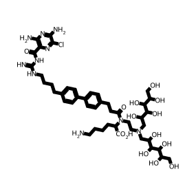 N=C(NCCCCc1ccc(-c2ccc(CCC(=O)N(CCN(CC(O)C(O)C(O)C(O)CO)CC(O)C(O)C(O)C(O)CO)C(CCCCN)C(=O)O)cc2)cc1)NC(=O)c1nc(Cl)c(N)nc1N